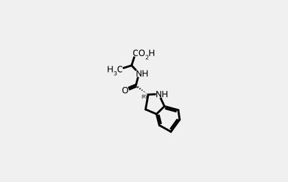 CC(NC(=O)[C@H]1Cc2ccccc2N1)C(=O)O